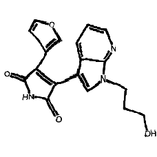 O=C1NC(=O)C(c2cn(CCCO)c3ncccc23)=C1c1ccoc1